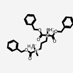 [BH3-][N+](C)(CCC[N+]([BH3-])(C(=O)OCc1ccccc1)C(=O)OCc1ccccc1)C(=O)OCc1ccccc1